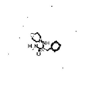 NC(=O)[C@H](Cc1ccccc1)NN1CCOCC1